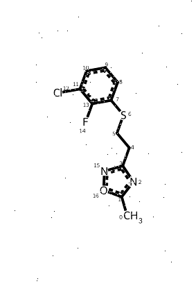 Cc1nc(CCSc2cccc(Cl)c2F)no1